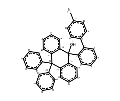 OC1(c2ccccc2-c2ccc(Cl)cc2)c2ccccc2C(c2ccccc2)(c2ccccc2)c2ccccc21